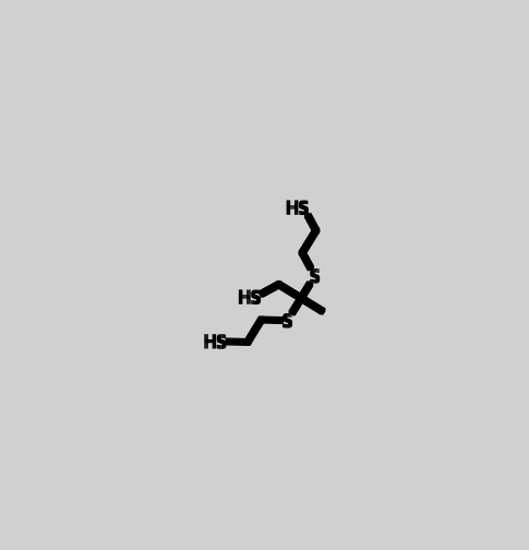 CC(CS)(SCCS)SCCS